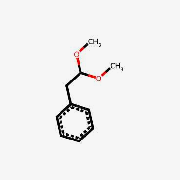 COC(Cc1ccccc1)OC